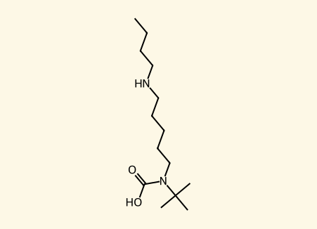 CCCCNCCCCCN(C(=O)O)C(C)(C)C